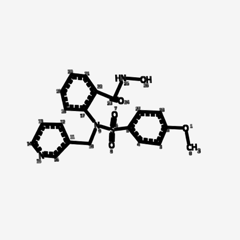 COc1ccc(S(=O)(=O)N(Cc2cccnc2)c2ccccc2C(=O)NO)cc1